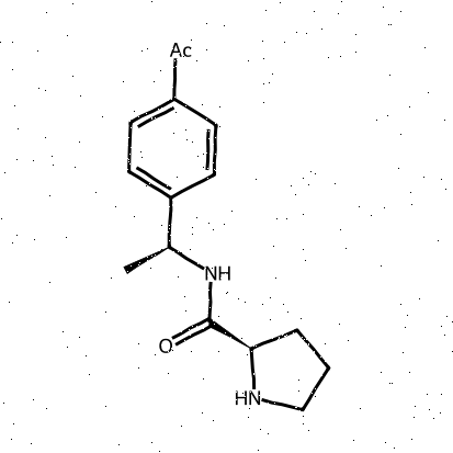 CC(=O)c1ccc([C@H](C)NC(=O)[C@H]2CCCN2)cc1